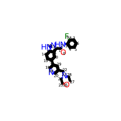 O=C(Nc1ccccc1F)c1n[nH]c2ccc(-c3cncc(CN4CCOCC4)c3)cc12